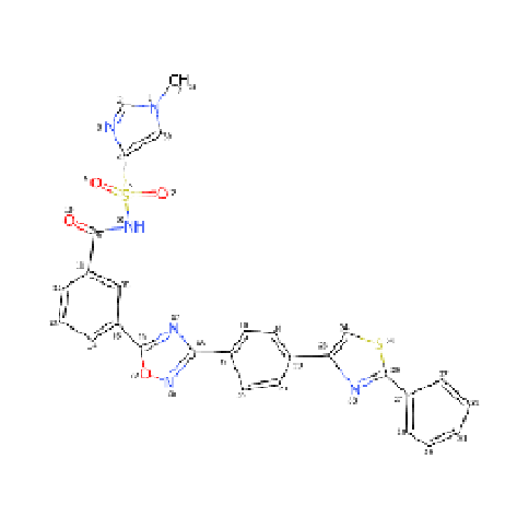 Cn1cnc(S(=O)(=O)NC(=O)c2cccc(-c3nc(-c4ccc(-c5csc(-c6ccccc6)n5)cc4)no3)c2)c1